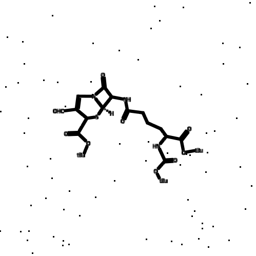 CC(C)(C)OC(=O)NC(CCCC(=O)NC1C(=O)N2C=C(C=O)C(C(=O)OC(C)(C)C)S[C@H]12)C(=O)OC(C)(C)C